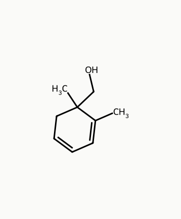 CC1=CC=CCC1(C)CO